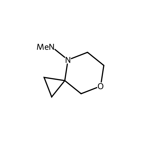 CNN1CCOCC12CC2